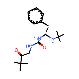 CC(C)(C)N[C@@H](Cc1ccccc1)NC(=O)NCC(=O)C(C)(C)C